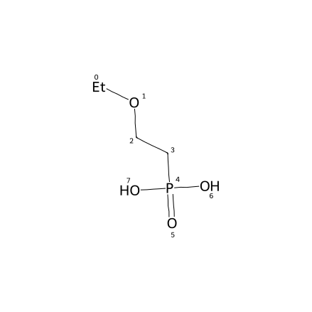 CCOCCP(=O)(O)O